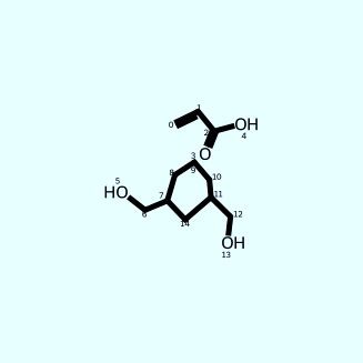 C=CC(=O)O.OCC1CCCC(CO)C1